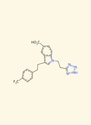 O=C(O)c1ccc2c(c1)c(CCc1ccc(C(F)(F)F)cc1)cn2CCc1nn[nH]n1